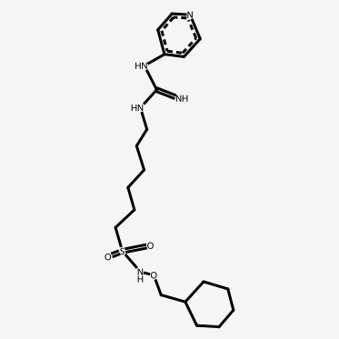 N=C(NCCCCCCS(=O)(=O)NOCC1CCCCC1)Nc1ccncc1